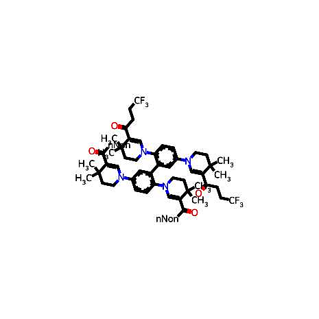 CCCCCCCCCC(=O)C1=CN(c2ccc(N3C=C(C(=O)CCCCCCCCC)C(C)(C)CC3)c(-c3cc(N4C=C(C(=O)CCC(F)(F)F)C(C)(C)CC4)ccc3N3C=C(C(=O)CCC(F)(F)F)C(C)(C)CC3)c2)CCC1(C)C